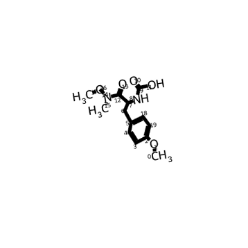 COc1ccc(CC(NC(=O)O)C(=O)N(C)OC)cc1